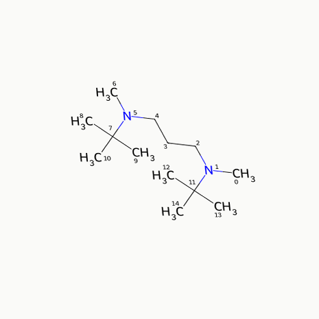 CN(CCCN(C)C(C)(C)C)C(C)(C)C